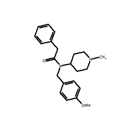 COc1ccc(CN(C(=O)Cc2ccccc2)C2CCN(C)CC2)cc1